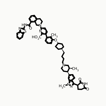 Cc1c(O[C@H]2CC[C@H](CCCCN3CC[C@H](c4ccc5c(C6CCC(=O)NC6=O)nn(C)c5c4)[C@H](C)C3)CC2)cccc1-c1ccc(N2CCc3cccc(C(=O)Nc4nc5ccccc5s4)c3C2)nc1C(=O)O